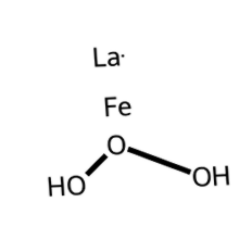 OOO.[Fe].[La]